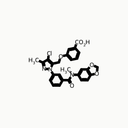 Cc1nn(-c2cccc(C(=O)N(C)c3ccc4c(c3)OCO4)c2)c(COc2cccc(C(=O)O)c2)c1Cl